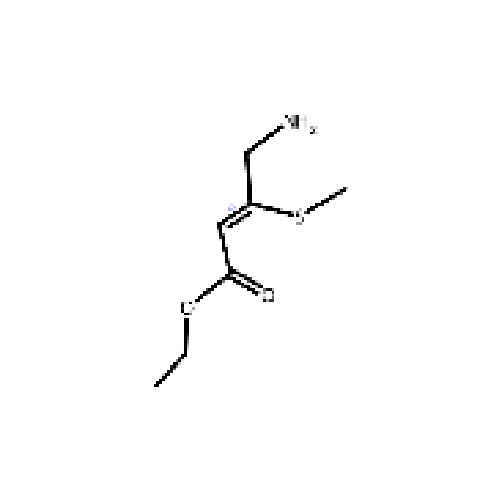 CCOC(=O)/C=C(/CN)SC